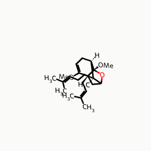 COC1=CC[C@H]2[C@]3(OC)OC(C[C@]13CC=C(C)C)[C@@]2(C)CCC=C(C)C